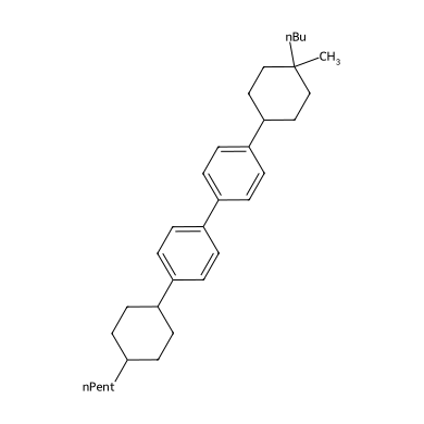 CCCCCC1CCC(c2ccc(-c3ccc(C4CCC(C)(CCCC)CC4)cc3)cc2)CC1